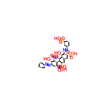 O=[N+]([O-])c1cc(/N=N/c2ccccc2)c(O)c([N+](=O)[O-])c1-c1c(S(=O)(=O)O)cc2cc(S(=O)(=O)O)c(N=Nc3cccc(S(=O)(=O)O)c3)c(O)c2c1O